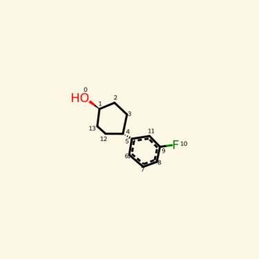 O[C@H]1CC[C@H](c2[c]ccc(F)c2)CC1